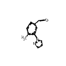 Cc1ccc(C=O)cc1-n1cccn1